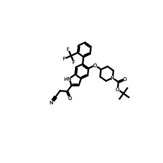 CC(C)(C)OC(=O)N1CCC(Oc2cc3cc(C(=O)CC#N)[nH]c3cc2-c2ccccc2C(F)(F)F)CC1